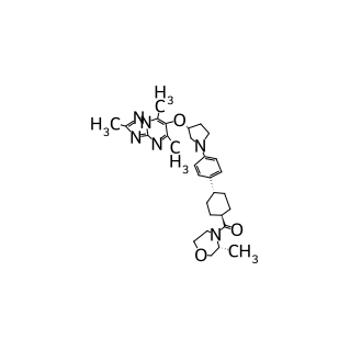 Cc1nc2nc(C)c(O[C@@H]3CCN(c4ccc([C@H]5CC[C@H](C(=O)N6CCOC[C@H]6C)CC5)cc4)C3)c(C)n2n1